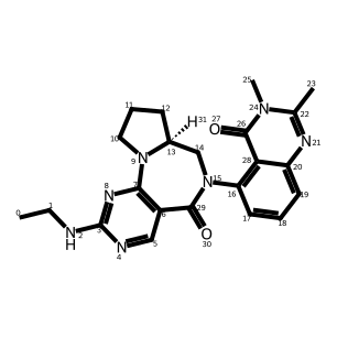 CCNc1ncc2c(n1)N1CCC[C@H]1CN(c1cccc3nc(C)n(C)c(=O)c13)C2=O